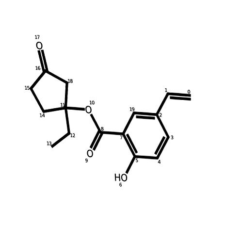 C=Cc1ccc(O)c(C(=O)OC2(CC)CCC(=O)C2)c1